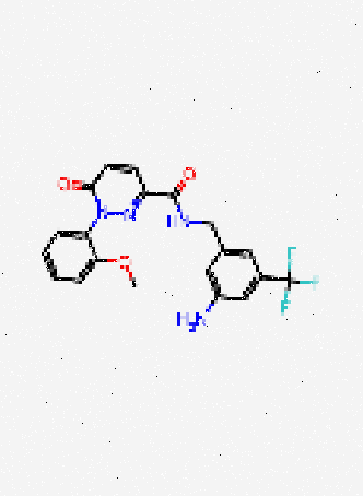 COc1ccccc1-n1nc(C(=O)NCc2cc(N)cc(C(F)(F)F)c2)ccc1=O